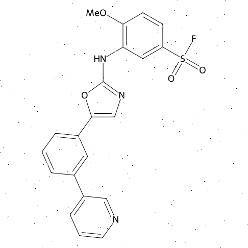 COc1ccc(S(=O)(=O)F)cc1Nc1ncc(-c2cccc(-c3cccnc3)c2)o1